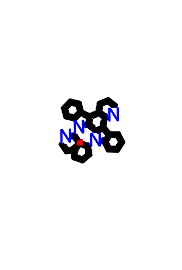 c1ccc(-n2c3ccccc3c3c4ncccc4c4c5ccccc5n(-c5ccccn5)c4c32)cc1